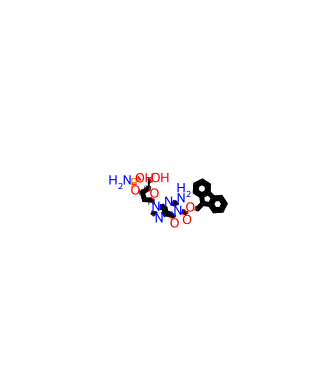 Nc1nc2c(ncn2[C@H]2C[C@H](OP(N)O)[C@@H](CO)O2)c(=O)n1C(=O)OCC1c2ccccc2-c2ccccc21